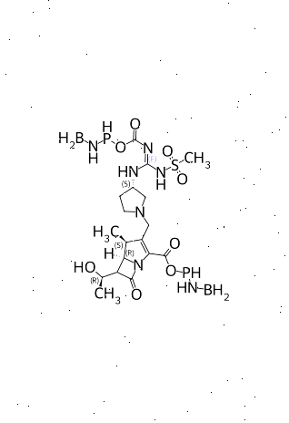 BNPOC(=O)/N=C(\N[C@H]1CCN(CC2=C(C(=O)OPNB)N3C(=O)C([C@@H](C)O)[C@H]3[C@H]2C)C1)NS(C)(=O)=O